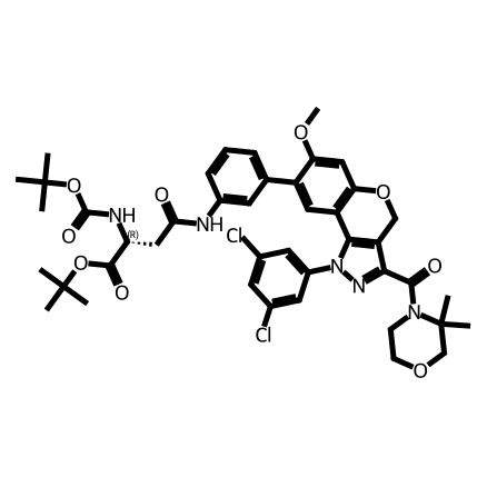 COc1cc2c(cc1-c1cccc(NC(=O)C[C@@H](NC(=O)OC(C)(C)C)C(=O)OC(C)(C)C)c1)-c1c(c(C(=O)N3CCOCC3(C)C)nn1-c1cc(Cl)cc(Cl)c1)CO2